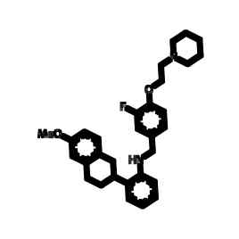 COc1ccc2c(c1)CCC(c1ccccc1NCc1ccc(OCCN3CCCCC3)c(F)c1)C2